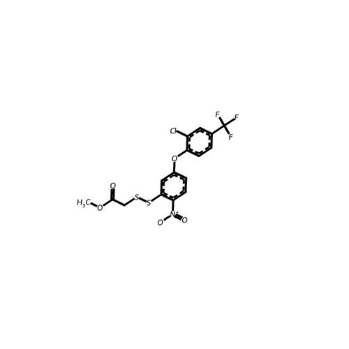 COC(=O)CSSc1cc(Oc2ccc(C(F)(F)F)cc2Cl)ccc1[N+](=O)[O-]